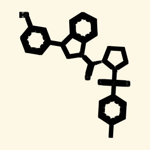 Cc1ccc(S(=O)(=O)N2CCC[C@H]2C(=O)N2CC(c3cccc(O)c3)c3ccccc32)cc1